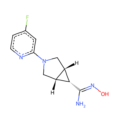 N/C(=N\O)[C@@H]1[C@@H]2CN(c3cc(F)ccn3)C[C@@H]21